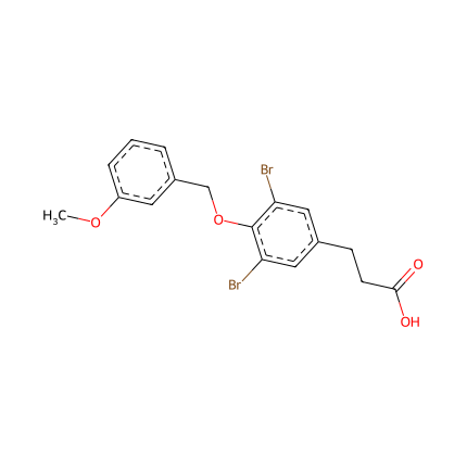 COc1cccc(COc2c(Br)cc(CCC(=O)O)cc2Br)c1